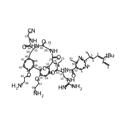 C=C/C(=C\C=C(/C)c1ncc(C(=O)N[C@@H](CNC(=N)N)C(=O)N(C)[C@@H]2C(=O)N[C@@H](C)C(=O)N[C@H](C(=O)NCC#N)Cc3ccc(OCCN)c(c3)-c3cc2ccc3OCCN)c(C)n1)C(C)(C)C